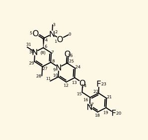 CON(C)C(=O)[C@H]1C=C(n2c(C)cc(OCc3ncc(F)cc3F)cc2=O)C(C)=CN1C